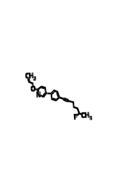 C=CCOc1ccc(-c2ccc(C#CCCCC(C)F)cc2)cn1